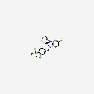 Fc1ccc2c(c1)c1c(n2Cc2ccc(C(F)(F)F)c(F)c2)C2CCN(CC2)C1